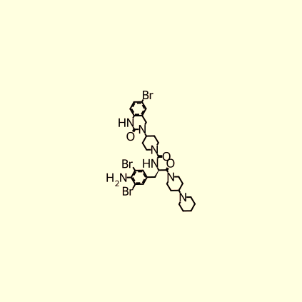 Nc1c(Br)cc(C[C@@H](NC(=O)N2CCC(N3Cc4cc(Br)ccc4NC3=O)CC2)C(=O)N2CCC(N3CCCCC3)CC2)cc1Br